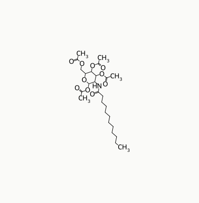 CCCCCCCCCCCC(=O)NC1C(OC(C)=O)OC(COC(C)=O)C(OC(C)=O)C1OC(C)=O